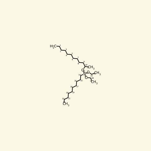 CCCCCCCCCCC(C)O[Si](CCCCCCCCCC)(OCC)OCC